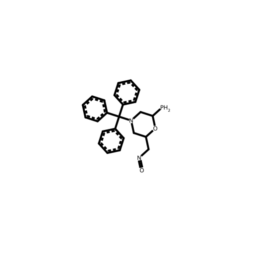 O=NCC1CN(C(c2ccccc2)(c2ccccc2)c2ccccc2)CC(P)O1